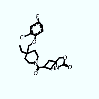 CCC1(COc2ccc(F)cc2Cl)CCN(C(=O)C2CC3(COC(=O)N3)C2)CC1